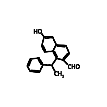 CC(c1ccccc1)c1c(C=O)ccc2cc(O)ccc12